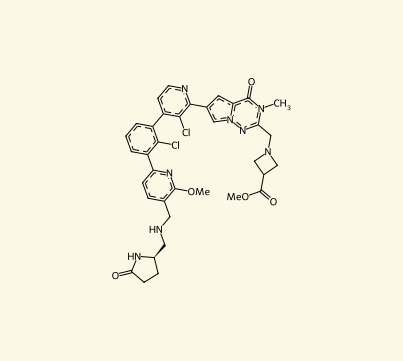 COC(=O)C1CN(Cc2nn3cc(-c4nccc(-c5cccc(-c6ccc(CNC[C@H]7CCC(=O)N7)c(OC)n6)c5Cl)c4Cl)cc3c(=O)n2C)C1